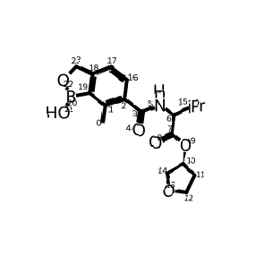 Cc1c(C(=O)NC(C(=O)O[C@H]2CCOC2)C(C)C)ccc2c1B(O)OC2